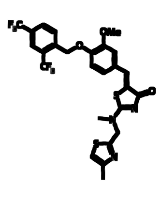 COc1cc(/C=C2\SC(N(C)Cc3nc(C)cs3)=NC2=O)ccc1OCc1ccc(C(F)(F)F)cc1C(F)(F)F